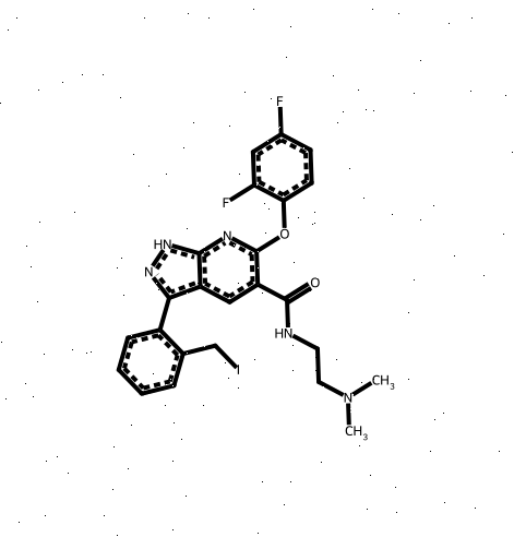 CN(C)CCNC(=O)c1cc2c(-c3ccccc3CI)n[nH]c2nc1Oc1ccc(F)cc1F